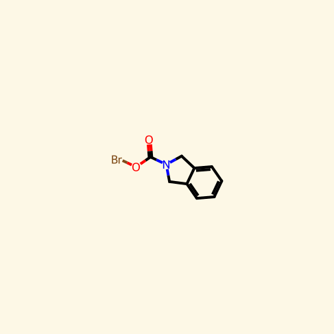 O=C(OBr)N1Cc2ccccc2C1